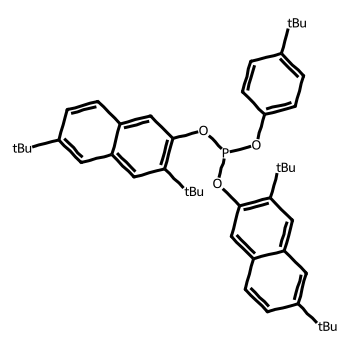 CC(C)(C)c1ccc(OP(Oc2cc3ccc(C(C)(C)C)cc3cc2C(C)(C)C)Oc2cc3ccc(C(C)(C)C)cc3cc2C(C)(C)C)cc1